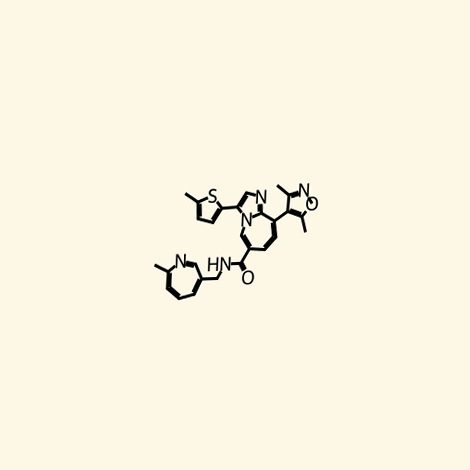 CC1=C=CC=C(CNC(=O)C2=Cn3c(-c4ccc(C)s4)cnc3C(c3c(C)noc3C)=C=C2)C=N1